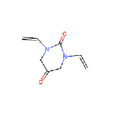 C=CN1CC(=O)CN(C=C)C1=O